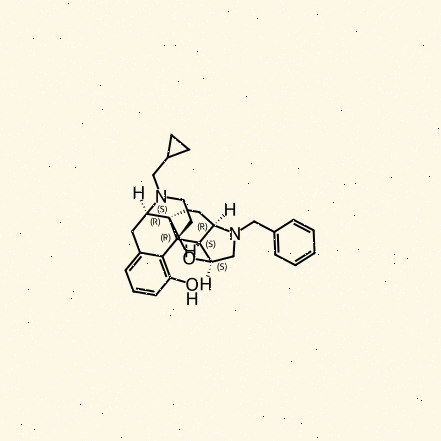 Oc1cccc2c1[C@]13CCN(CC4CC4)[C@H](C2)[C@]12CC[C@@H]1[C@H]3[C@@H](CN1Cc1ccccc1)O2